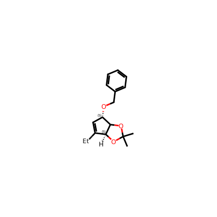 CCC1=C[C@H](OCc2ccccc2)C2OC(C)(C)O[C@@H]12